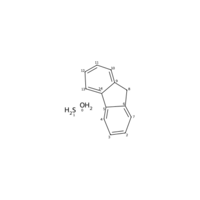 O.S.c1ccc2c(c1)Cc1ccccc1-2